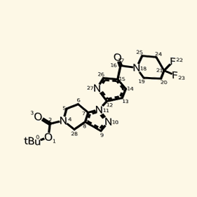 CC(C)(C)OC(=O)N1CCc2c(cnn2-c2ccc(C(=O)N3CCC(F)(F)CC3)cn2)C1